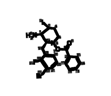 N[C@H]1[C@@H](I)CCN(OC(=O)c2ccccc2)[C@H]1Cc1cccc(Br)c1F